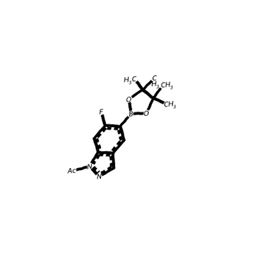 CC(=O)n1ncc2cc(B3OC(C)(C)C(C)(C)O3)c(F)cc21